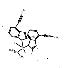 CCC1=Cc2c(C#CC(C)(C)C)cccc2[CH]1[Zr]([Cl])([Cl])([CH]1C(CC)=Cc2c(C#CC(C)(C)C)cccc21)[SiH](C)C